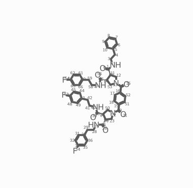 O=C(NCCc1ccccc1)[C@H]1CN(C(=O)c2ccc(C(=O)N3C[C@H](C(=O)NCCc4ccc(F)cc4)[C@@H](C(=O)NCCc4ccc(F)cc4)C3)cc2)C[C@@H]1C(=O)NCCc1ccc(F)cc1